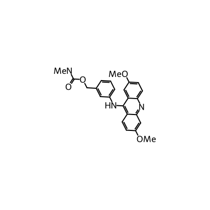 CNC(=O)OCc1cccc(Nc2c3ccc(OC)cc3nc3ccc(OC)cc23)c1